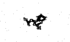 CCC(=O)O[SiH](OC(=O)CC)c1ccccc1